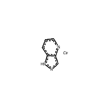 [Ca].c1cnc2cn[nH]c2c1